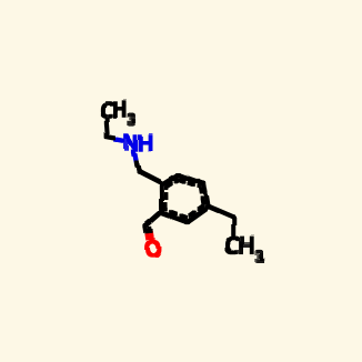 CCNCc1ccc(CC)cc1C=O